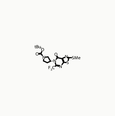 CSc1nc2c(=O)n([C@@H]3CCN(C(=O)OC(C)(C)C)C3)c(C(F)(F)F)nc2s1